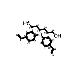 C=Cc1ccc(Oc2ccc(C=C)cc2)cc1.OCCCCCCO